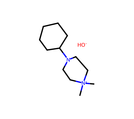 C[N+]1(C)CCN(C2CCCCC2)CC1.[OH-]